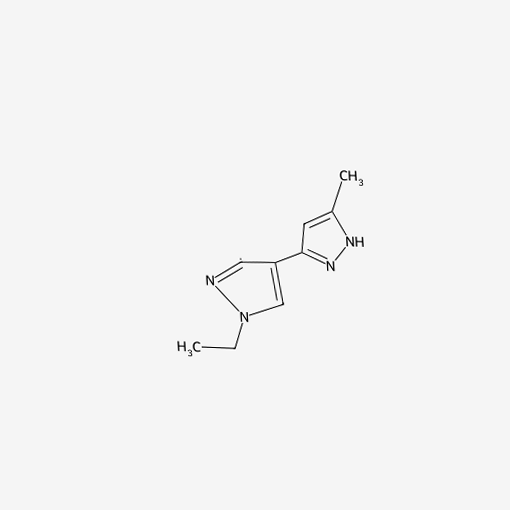 CCn1cc(-c2cc(C)[nH]n2)[c]n1